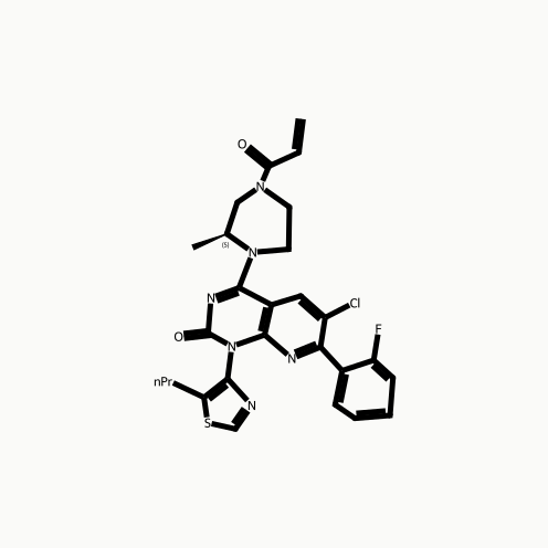 C=CC(=O)N1CCN(c2nc(=O)n(-c3ncsc3CCC)c3nc(-c4ccccc4F)c(Cl)cc23)[C@@H](C)C1